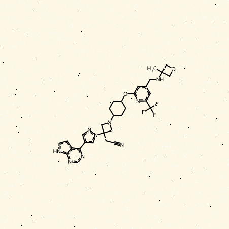 CC1(NCc2cc(OC3CCC(N4CC(CC#N)(n5cc(-c6ncnc7[nH]ccc67)cn5)C4)CC3)nc(C(F)(F)F)c2)COC1